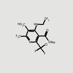 COC(=O)c1c(C(F)(F)Cl)nc(C(F)(F)F)c(C(=O)O)c1NCC(F)(F)F